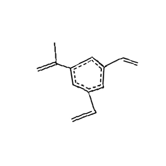 C=Cc1cc(C=C)cc(C(=C)C)c1